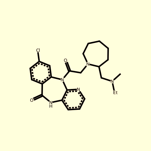 CCN(C)CC1CCCCCN1CC(=O)N1c2cc(Cl)ccc2C(=O)Nc2cccnc21